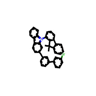 CC1(C)c2ccccc2-c2cccc(-n3c4ccccc4c4ccc(-c5cccc(-c6cccc(Br)c6)c5)cc43)c21